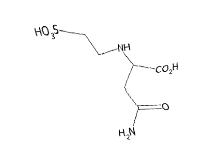 NC(=O)CC(NCCS(=O)(=O)O)C(=O)O